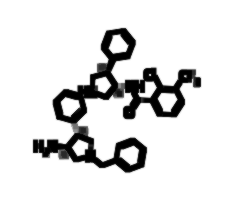 N[C@@H]1CN(Cc2ccccc2)C[C@H]1c1ccccc1.O=C(N[C@@H]1CNC[C@H]1c1ccccc1)c1cccc(C(F)(F)F)c1Cl